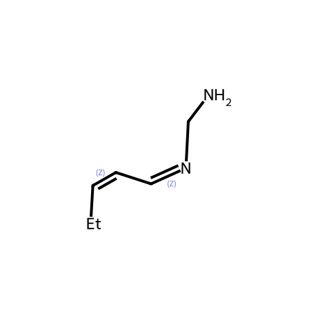 CC/C=C\C=N/CN